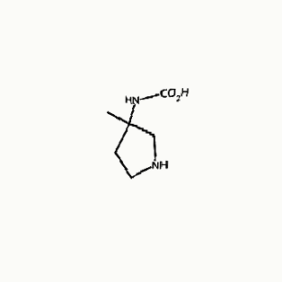 CC1(NC(=O)O)CCNC1